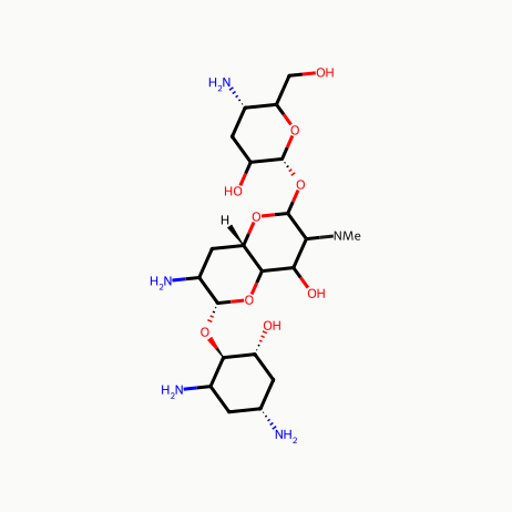 CNC1C(O[C@H]2OC(CO)[C@@H](N)CC2O)O[C@H]2CC(N)[C@@H](O[C@@H]3C(N)C[C@@H](N)C[C@H]3O)OC2C1O